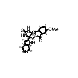 COc1ccc2c(c1)C(=O)N(C[C@@]1(c3cc4ccncc4[nH]3)NC(=O)NC1=O)C2